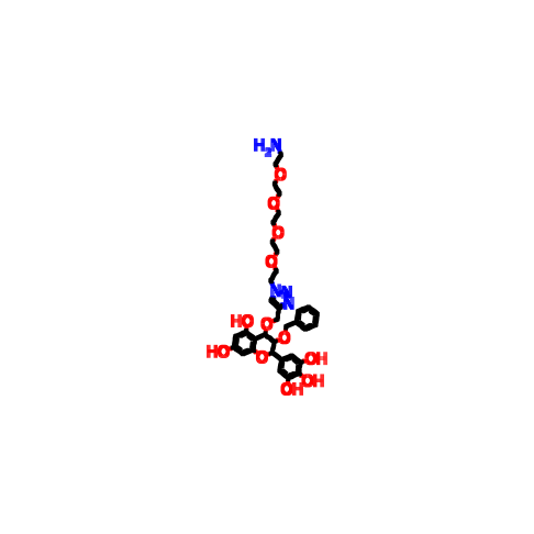 NCCOCCOCCOCCOCCn1cc(COC2c3c(O)cc(O)cc3OC(c3cc(O)c(O)c(O)c3)C2OCc2ccccc2)nn1